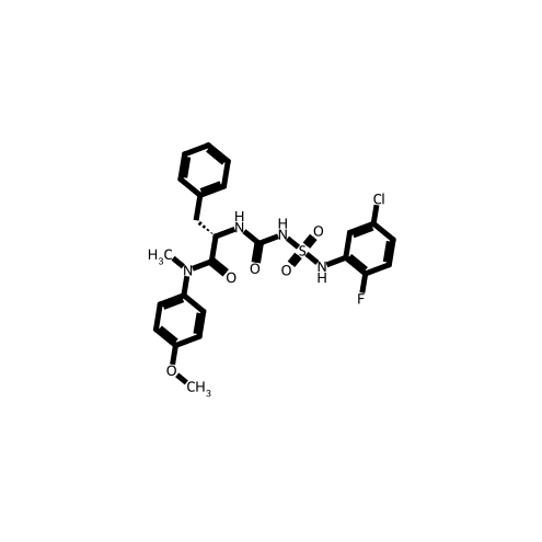 COc1ccc(N(C)C(=O)[C@H](Cc2ccccc2)NC(=O)NS(=O)(=O)Nc2cc(Cl)ccc2F)cc1